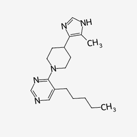 CCCCCc1cncnc1N1CCC(c2nc[nH]c2C)CC1